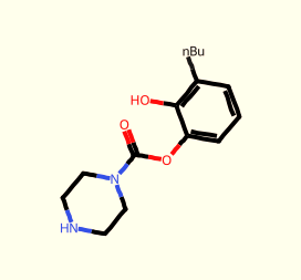 CCCCc1cccc(OC(=O)N2CCNCC2)c1O